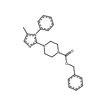 Cc1cnc(N2CCN(C(=O)OCc3ccccc3)CC2)n1-c1ccccc1